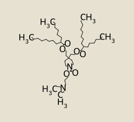 CCCCCCCCC(CCCCCC)C(=O)OCCC1(CCOC(=O)C(CCCCCC)CCCCCCCC)CCN(C(=O)OCCCN(CC)CC)CC1